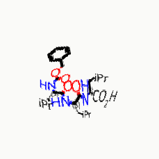 CC(C)C[C@H](NC(=O)[C@H](CC(C)C)NC(=O)[C@H](CC(C)C)NC(=O)OCc1ccccc1)C(=O)O